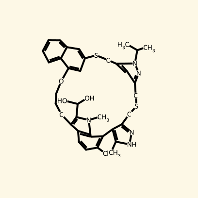 Cc1[nH]nc2c1-c1c(Cl)ccc3c(c(C(O)O)n(C)c13)CCCOc1cc(cc3ccccc13)SCc1cc(nn1C(C)C)CSC2